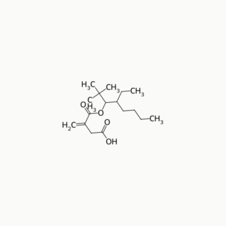 C=C(CC(=O)O)C(=O)OC(C(CC)CCCC)C(C)(C)C